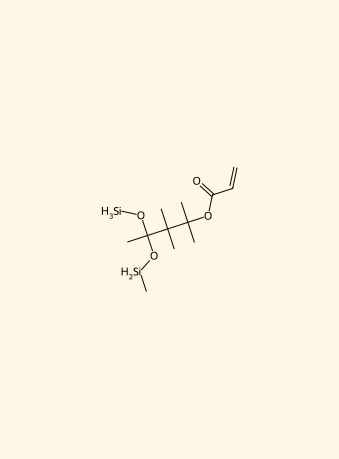 C=CC(=O)OC(C)(C)C(C)(C)C(C)(O[SiH3])O[SiH2]C